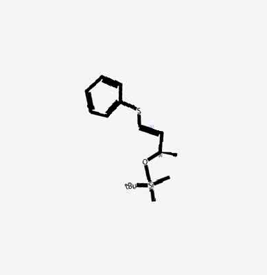 C[C@H](/C=C/Sc1ccccc1)O[Si](C)(C)C(C)(C)C